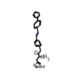 N[C@@H](Cc1c[nH]cn1)C(=O)Cc1ccc(/C=C/c2ccc(-c3ccccc3)cc2)cc1